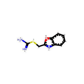 N=C(N)SCc1nc2ccccc2o1